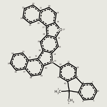 CC1(C)c2ccccc2-c2ccc(-n3c4cc5oc6ccc7ccccc7c6c5cc4c4c5ccccc5ccc43)cc21